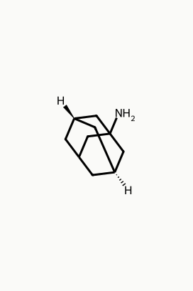 NC12CC3C[C@H](C1)C[C@H](C3)C2